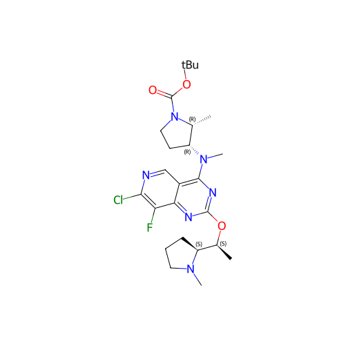 C[C@H](Oc1nc(N(C)[C@@H]2CCN(C(=O)OC(C)(C)C)[C@@H]2C)c2cnc(Cl)c(F)c2n1)[C@@H]1CCCN1C